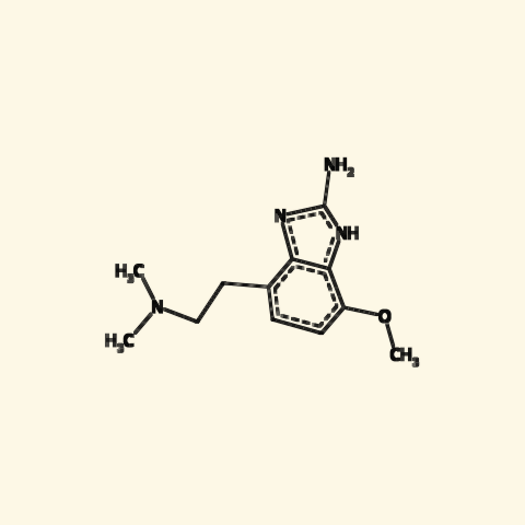 COc1ccc(CCN(C)C)c2nc(N)[nH]c12